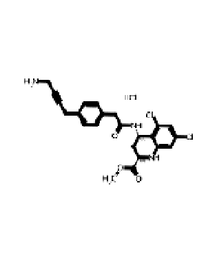 COC(=O)[C@H]1C[C@H](NC(=O)Cc2ccc(CC#CCN)cc2)c2c(Cl)cc(Cl)cc2N1.Cl